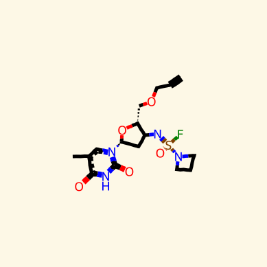 C#CCOC[C@H]1O[C@@H](n2cc(C)c(=O)[nH]c2=O)CC1N=S(=O)(F)N1CCC1